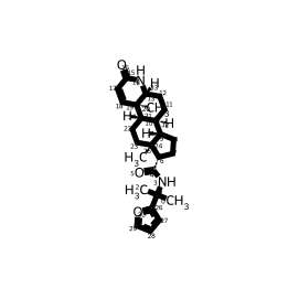 CC(C)(NC(=O)[C@H]1CC[C@H]2[C@@H]3CC[C@H]4NC(=O)C=C[C@]4(C)[C@H]3CC[C@]12C)c1ccco1